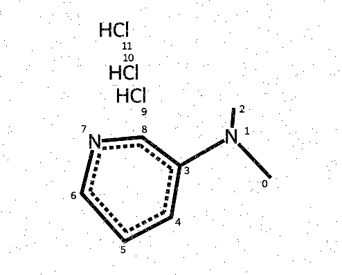 CN(C)c1cccnc1.Cl.Cl.Cl